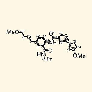 CCCNC(=O)c1cc(COCCOC)ccc1NC(=O)c1csc(N2CC[C@H](OC)C2)n1